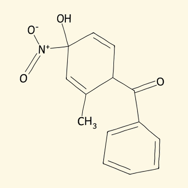 CC1=CC(O)([N+](=O)[O-])C=CC1C(=O)c1ccccc1